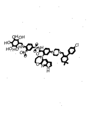 CC1(C)CCC(CN2CCN(c3ccc(C(=O)NS(=O)(=O)c4ccc(NCC5C(O)C(O)C(O)C(O)C5O)c([N+](=O)[O-])c4)c(N4CCCOc5nc6[nH]ccc6cc54)c3)CC2)=C(c2ccc(Cl)cc2)C1